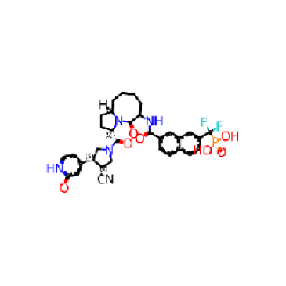 N#C[C@H]1CN(C(=O)[C@@H]2CC[C@@H]3CCCCC(NC(=O)c4ccc5ccc(C(F)(F)P(=O)(O)O)cc5c4)C(=O)N32)C[C@@H]1c1cc[nH]c(=O)c1